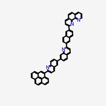 c1cnc2c(c1)ccc1ccc(-c3ccc4cc(-c5ccc6ccc(-c7ccc8nc(-c9cc%10cccc%11ccc%12cccc9c%12c%11%10)ccc8c7)cc6n5)ccc4c3)nc12